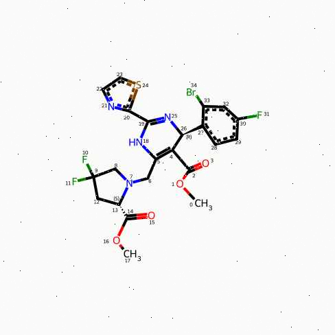 COC(=O)C1=C(CN2CC(F)(F)C[C@H]2C(=O)OC)NC(c2nccs2)=N[C@H]1c1ccc(F)cc1Br